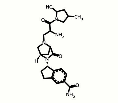 CC1CC(C#N)N(C(=O)C(N)CN2C[C@@H]3CC2C(=O)N3[C@H]2CCc3cc(C(N)=O)ccc32)C1